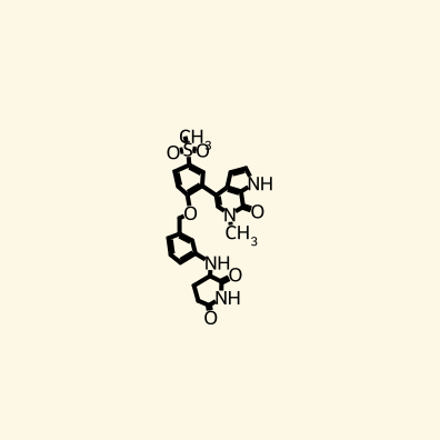 Cn1cc(-c2cc(S(C)(=O)=O)ccc2OCc2cccc(NC3CCC(=O)NC3=O)c2)c2cc[nH]c2c1=O